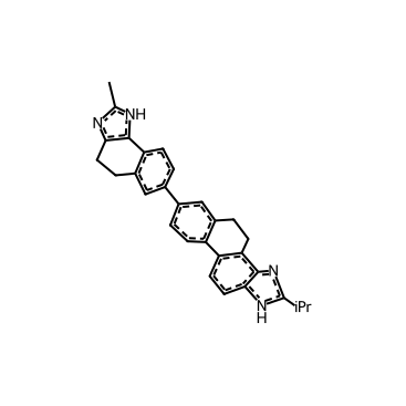 Cc1nc2c([nH]1)-c1ccc(-c3ccc4c(c3)CCc3c-4ccc4[nH]c(C(C)C)nc34)cc1CC2